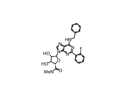 CNC(=O)[C@@H]1OC(n2cnc3c(NCc4ccccc4)nc(-c4ccccc4F)nc32)C(O)C1O